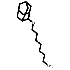 CCCCCCCCPC1C2CC3CC(C2)CC1C3